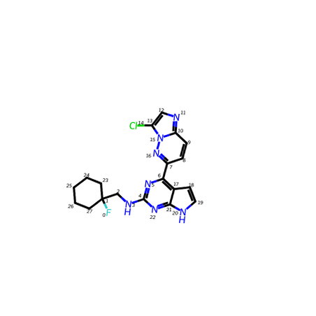 FC1(CNc2nc(-c3ccc4ncc(Cl)n4n3)c3cc[nH]c3n2)CCCCC1